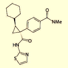 CNC(=O)c1ccc([C@@]2(C(=O)Nc3nccs3)C[C@H]2C2CCCCC2)cc1